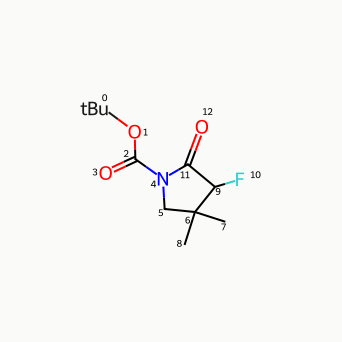 CC(C)(C)OC(=O)N1CC(C)(C)C(F)C1=O